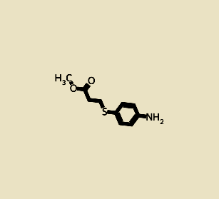 COC(=O)CCSc1ccc(N)cc1